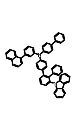 c1ccc(-c2ccc(N(c3ccc(-c4cccc(-n5c6ccccc6c6ccccc65)c4-c4ccccc4)cc3)c3cccc(-c4cccc5ccccc45)c3)cc2)cc1